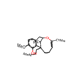 CNCCC12CC/C=C(/OC)OC(Cc3ccc(OC)c(O)c31)C2C